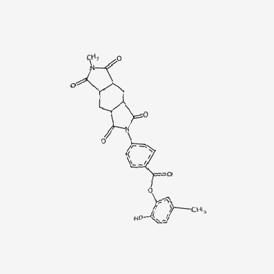 Cc1ccc(O)c(OC(=O)c2ccc(N3C(=O)C4CC5C(=O)N(C)C(=O)C5CC4C3=O)cc2)c1